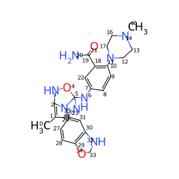 CC1=C2NOC(Nc3ccc(N4CCN(C)CC4)c(C(N)=O)c3)(N=C1)N2c1ccc2c(c1)NCO2